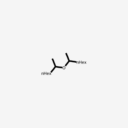 CCCCCCC(C)OC(C)CCCCCC